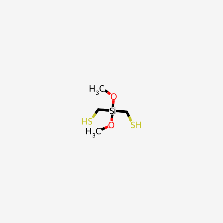 CO[Si](CS)(CS)OC